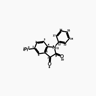 CC(C)c1ccc2c(c1)C(=O)C(=O)N2c1ccccc1